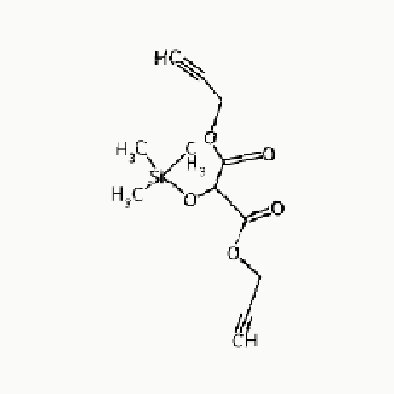 C#CCOC(=O)C(O[Si](C)(C)C)C(=O)OCC#C